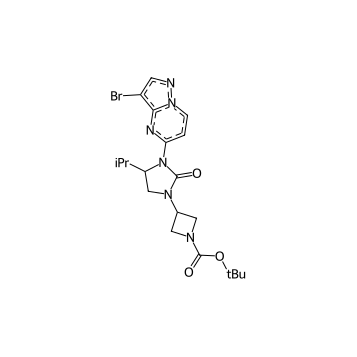 CC(C)C1CN(C2CN(C(=O)OC(C)(C)C)C2)C(=O)N1c1ccn2ncc(Br)c2n1